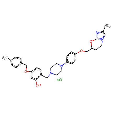 Cl.O=[N+]([O-])c1cn2c(n1)OC(COc1ccc(N3CCN(Cc4ccc(OCc5ccc(C(F)(F)F)cc5)cc4O)CC3)cc1)CC2